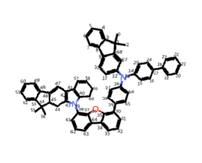 CC1(C)c2ccccc2-c2ccc(N(c3ccc(-c4ccccc4)cc3)c3ccc(-c4cccc5c4oc4c(-n6c7c(c8c6CC6C(=C8)c8ccccc8C6(C)C)C=CCC7)cccc45)cc3)cc21